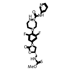 COC(=S)NC[C@H]1CN(c2cc(F)c(N3CCNN(C(=O)Nc4cccnc4)CC3)c(F)c2)C(=O)O1